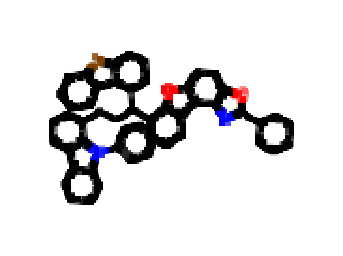 c1ccc(-c2nc3c(ccc4oc5c(C(CCc6cccc7c8ccccc8n(-c8ccccc8)c67)c6cccc7sc8ccccc8c67)cccc5c43)o2)cc1